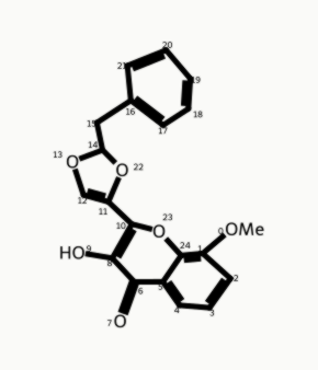 COc1cccc2c(=O)c(O)c(C3=COC(Cc4ccccc4)O3)oc12